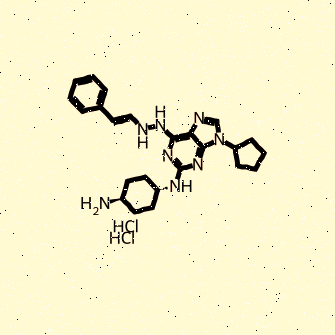 Cl.Cl.N[C@H]1CC[C@H](Nc2nc(NNC=Cc3ccccc3)c3ncn(C4CCCC4)c3n2)CC1